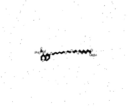 CC(C)(C)OC(=O)CCCCCOCCOCCOCCCCCCOc1ccc2c(c1)C(NC(=O)OC(C)(C)C)CCO2